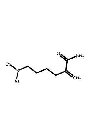 C=C(CCCCN(CC)CC)C(N)=O